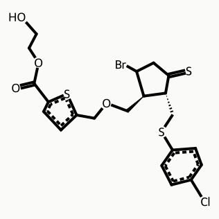 O=C(OCCO)c1ccc(COC[C@H]2C(Br)CC(=S)[C@@H]2CSc2ccc(Cl)cc2)s1